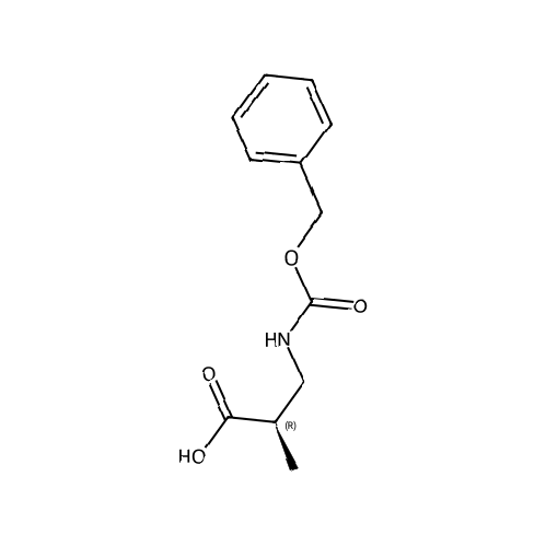 C[C@H](CNC(=O)OCc1ccccc1)C(=O)O